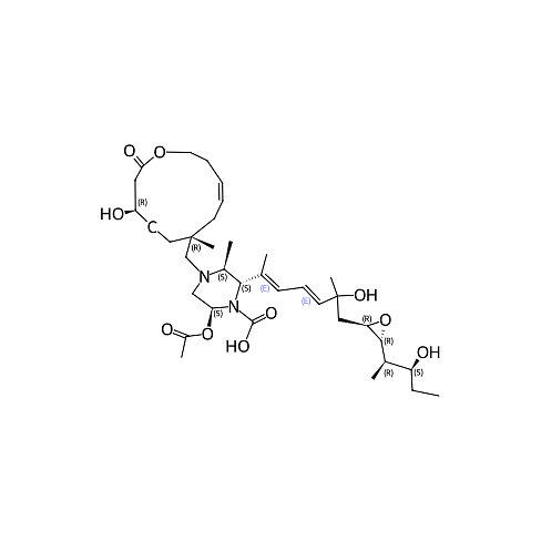 CC[C@H](O)[C@@H](C)[C@H]1O[C@@H]1CC(C)(O)/C=C/C=C(\C)[C@H]1[C@H](C)N(C[C@@]2(C)CC=CCCOC(=O)C[C@H](O)CC2)C[C@H](OC(C)=O)N1C(=O)O